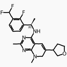 Cc1nc(N[C@H](C)c2cccc(C(F)F)c2F)c2c(n1)N(C)CC(C1CCOC1)=C2